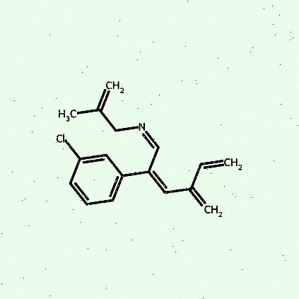 C=CC(=C)/C=C(\C=N/CC(=C)C)c1cccc(Cl)c1